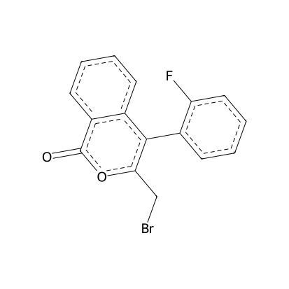 O=c1oc(CBr)c(-c2ccccc2F)c2ccccc12